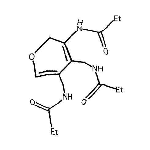 CCC(=O)NC1=CO[CH]C(NC(=O)CC)=C1NC(=O)CC